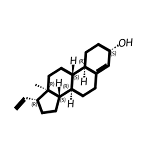 C=C[C@H]1CC[C@H]2[C@@H]3CCC4=C[C@@H](O)CC[C@@H]4[C@H]3CC[C@]12C